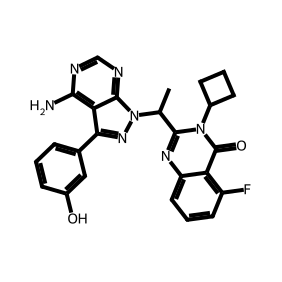 CC(c1nc2cccc(F)c2c(=O)n1C1CCC1)n1nc(-c2cccc(O)c2)c2c(N)ncnc21